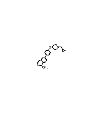 Cc1nccc2cc(-c3ccc(OC4CCN(CC5CC5)CC4)cc3)ccc12